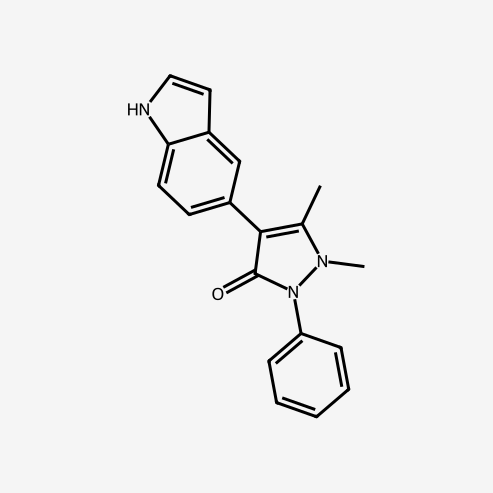 Cc1c(-c2ccc3[nH]ccc3c2)c(=O)n(-c2ccccc2)n1C